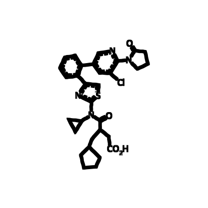 O=C(O)CC(CC1CCCC1)C(=O)N(c1nc(-c2ccccc2-c2cnc(N3CCCC3=O)c(Cl)c2)cs1)C1CC1